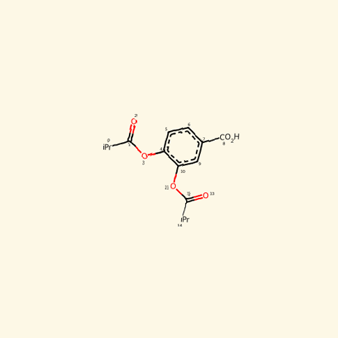 CC(C)C(=O)Oc1ccc(C(=O)O)cc1OC(=O)C(C)C